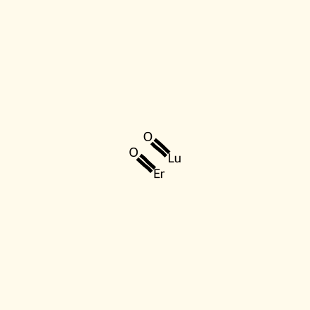 [O]=[Er].[O]=[Lu]